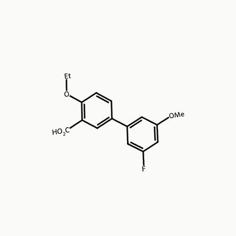 CCOc1ccc(-c2cc(F)cc(OC)c2)cc1C(=O)O